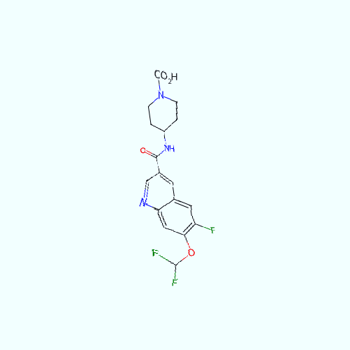 O=C(NC1CCN(C(=O)O)CC1)c1cnc2cc(OC(F)F)c(F)cc2c1